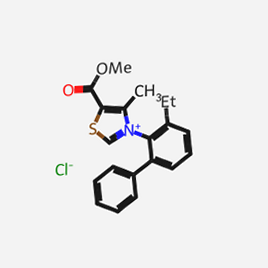 CCc1cccc(-c2ccccc2)c1-[n+]1csc(C(=O)OC)c1C.[Cl-]